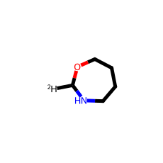 [2H]C1NCCCCO1